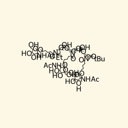 C=P(O)(OC[C@@H]1C[C@@H](OP(=C)(O)OC[C@@H]2C[C@@H](OC(C)(C)C)CN2C(=O)CCCCOC2OC(CO)C(O)C(O)C2NC(C)=O)CN1C(=O)CCCCOC1OC(CO)C(O)C(O)C1NC(C)=O)OC1C[C@@H](CC)N(C(=O)CCCCOC2OC(CO)C(O)C(O)C2NC(C)=O)C1